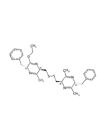 CCOC1=N[C@@H](CSSC[C@@H]2N=C(C)[C@@H](Cc3ccccc3)N=C2C)C(C)=N[C@@H]1Cc1ccccc1